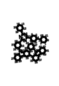 c1ccc(-c2ccc(-c3nc(-c4ccccc4)nc(-c4cccc(-n5c6ccccc6c6cc(-c7cccc8c9ccccc9n(-c9ccccc9)c78)ccc65)c4)n3)cc2)cc1